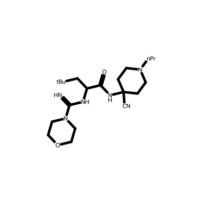 CCCN1CCC(C#N)(NC(=O)C(CC(C)(C)C)NC(=N)N2CCOCC2)CC1